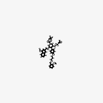 COc1ccccc1COCCCOc1ccc([C@H]2[C@H](COC[C@H]3CO3)CN(C(=O)OC(C)(C)C)C[C@@H]2OCc2cc(OC)c3ccccc3c2)cc1